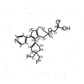 Cc1sc(-c2ccncc2)c(C2=CCC(CF)(CF)CC2)c1CC(C)(C)OCC(=O)O